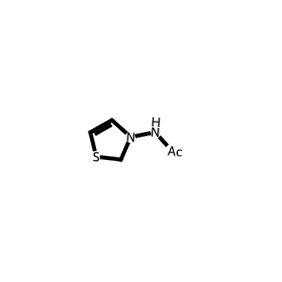 CC(=O)NN1C=CSC1